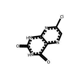 O=c1[nH]c(=O)c2ncc(Cl)nc2[nH]1